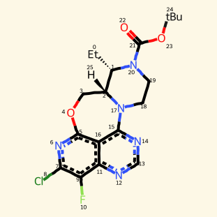 CC[C@H]1[C@H]2COc3nc(Cl)c(F)c4ncnc(c34)N2CCN1C(=O)OC(C)(C)C